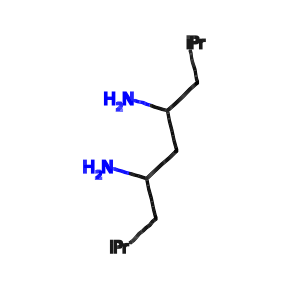 CC(C)CC(N)CC(N)CC(C)C